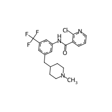 CN1CCC(Cc2cc(NC(=O)c3cccnc3Cl)cc(C(F)(F)F)c2)CC1